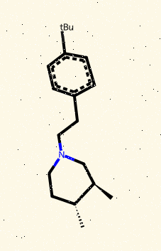 C[C@@H]1CCN(CCc2ccc(C(C)(C)C)cc2)C[C@H]1C